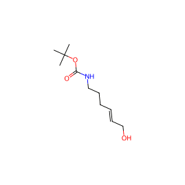 CC(C)(C)OC(=O)NCCCC=CCO